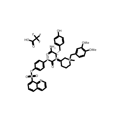 COc1ccc(C[N+]2(C)CCC/C(=[N+](\C(=O)Nc3ccc(OS(=O)(=O)c4cccc5cccnc45)cc3)[C@@H](Cc3ccc(O)cc3)C(N)=O)C2)cc1OC.O=C(O)C(F)(F)F